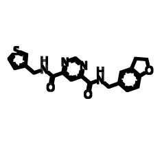 O=C(NCc1ccsc1)c1cc(C(=O)NCc2ccc3c(c2)CCO3)ncn1